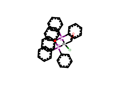 O=[CH][Rh]([Cl])([PH](c1ccccc1)(c1ccccc1)c1ccccc1)[PH](c1ccccc1)(c1ccccc1)c1ccccc1